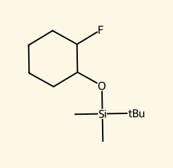 CC(C)(C)[Si](C)(C)OC1CCCCC1F